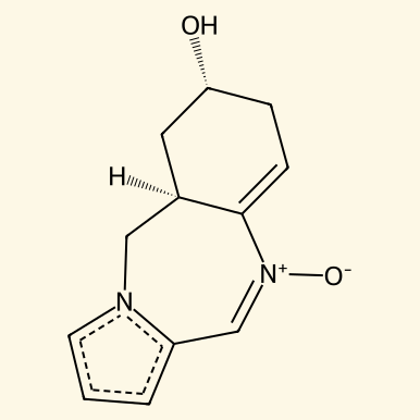 [O-][N+]1=Cc2cccn2C[C@H]2C[C@H](O)CC=C21